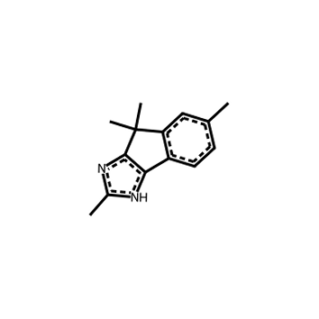 Cc1ccc2c(c1)C(C)(C)c1nc(C)[nH]c1-2